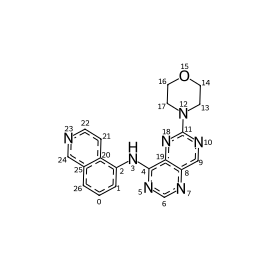 c1cc(Nc2ncnc3cnc(N4CCOCC4)nc23)c2ccncc2c1